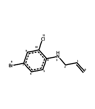 C=CCNc1ccc(Br)cc1Cl